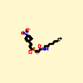 CCCCCCCCNC(=O)/C=C\SC(=O)/C=C/c1ccc([N+](=O)[O-])cc1